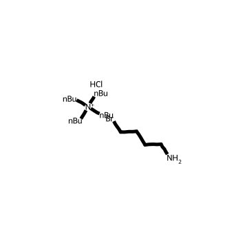 CCCC[N+](CCCC)(CCCC)CCCC.Cl.NCCCCBr